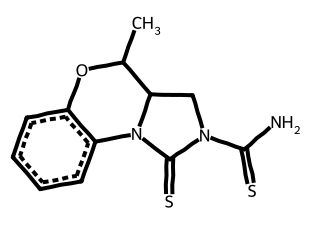 CC1Oc2ccccc2N2C(=S)N(C(N)=S)CC12